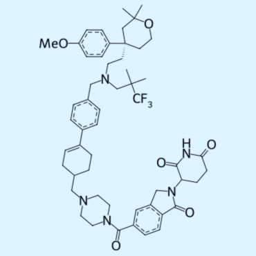 COc1ccc([C@]2(CCN(Cc3ccc(C4=CCC(CN5CCN(C(=O)c6ccc7c(c6)CN(C6CCC(=O)NC6=O)C7=O)CC5)CC4)cc3)CC(C)(C)C(F)(F)F)CCOC(C)(C)C2)cc1